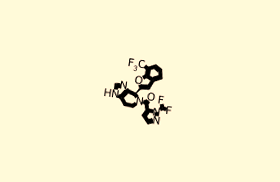 O=C(c1ccnn1C(F)F)N1CCc2[nH]cnc2[C@H]1c1cc2cccc(C(F)(F)F)c2o1